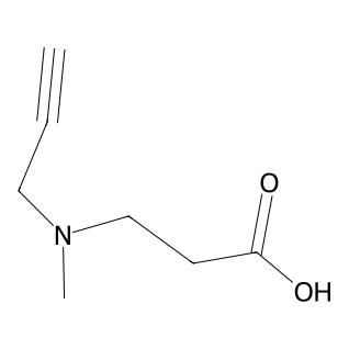 C#CCN(C)CCC(=O)O